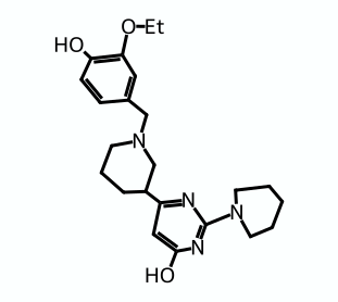 CCOc1cc(CN2CCCC(c3cc(O)nc(N4CCCCC4)n3)C2)ccc1O